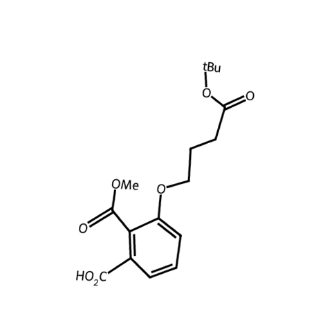 COC(=O)c1c(OCCCC(=O)OC(C)(C)C)cccc1C(=O)O